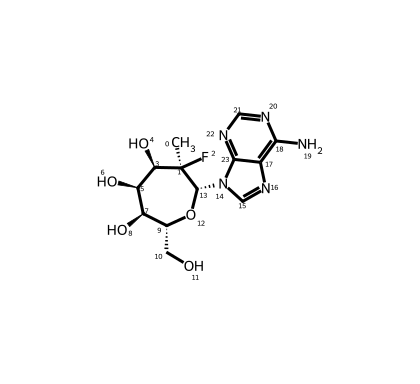 C[C@@]1(F)[C@H](O)[C@H](O)[C@H](O)[C@@H](CO)O[C@H]1n1cnc2c(N)ncnc21